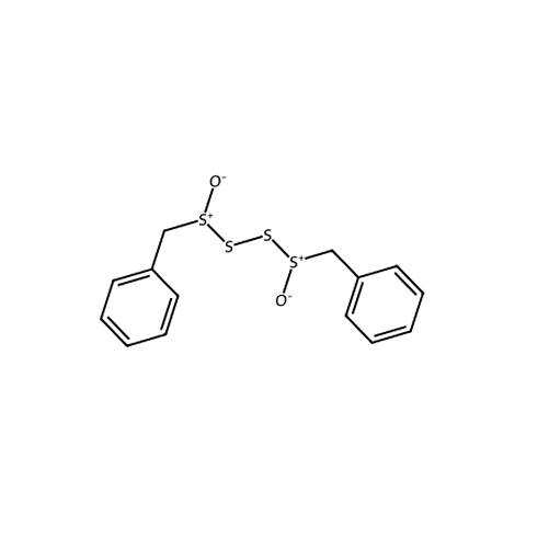 [O-][S+](Cc1ccccc1)SS[S+]([O-])Cc1ccccc1